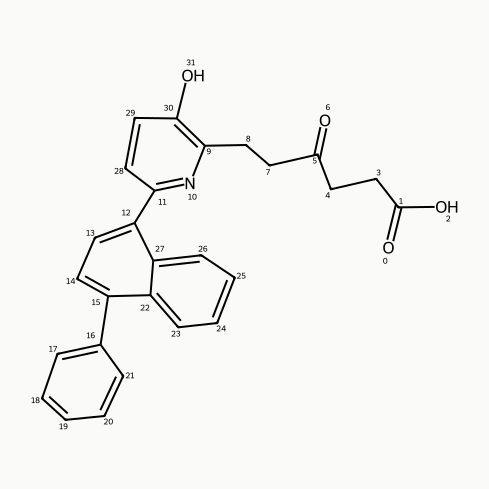 O=C(O)CCC(=O)CCc1nc(-c2ccc(-c3ccccc3)c3ccccc23)ccc1O